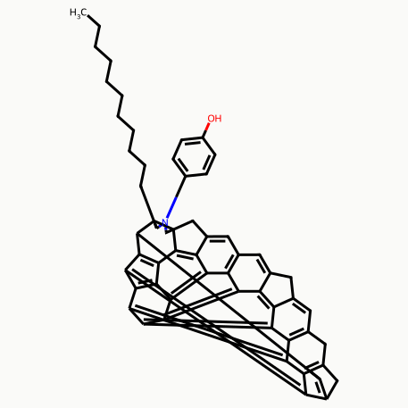 CCCCCCCCCCCC1C2C3C=C4CC5=c6c4c4c3c3c7c8c(cc9cc%10c%11c%12c(cc(c%13c6c6c4c3c3c8c9c%11c3c6c%12%13)C5)C%10)CC72CN1c1ccc(O)cc1